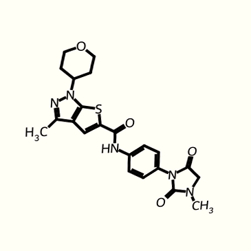 Cc1nn(C2CCOCC2)c2sc(C(=O)Nc3ccc(N4C(=O)CN(C)C4=O)cc3)cc12